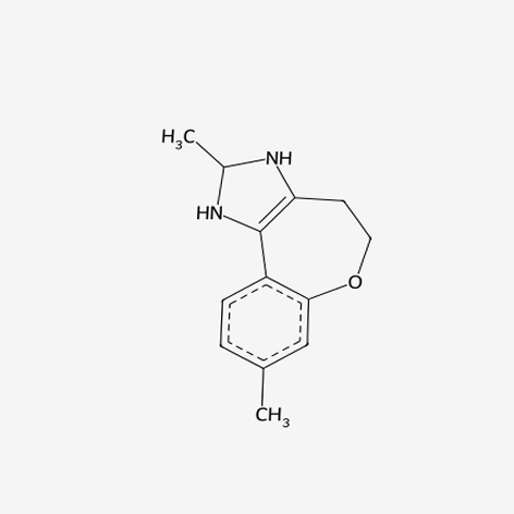 Cc1ccc2c(c1)OCCC1=C2NC(C)N1